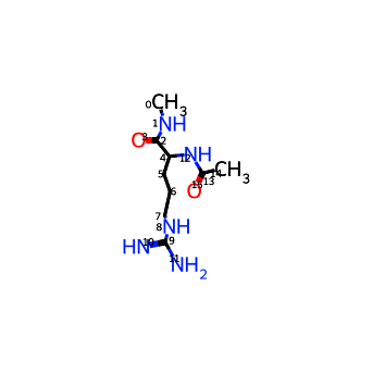 CNC(=O)C(CCCNC(=N)N)NC(C)=O